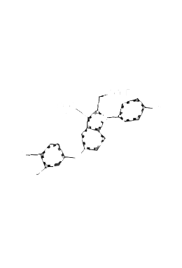 CCOC(=O)Cc1c(C(=O)OCC)c2cc(Oc3ccc(Cl)c(Cl)c3)ccc2n1-c1ccc(C(C)C)cc1